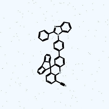 N#Cc1cccc2c1Oc1ccc(-c3ccc(-n4c(-c5ccccc5)nc5ccccc54)cc3)cc1C21c2ccccc2-c2ccccc21